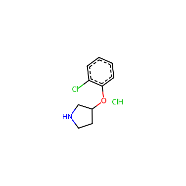 Cl.Clc1ccccc1OC1CCNC1